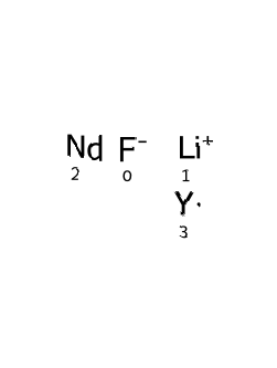 [F-].[Li+].[Nd].[Y]